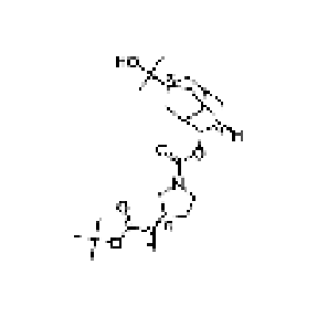 CC(C)(C)OC(=O)N[C@@H]1CCN(C(=O)OC2C3CC4C[C@H]2C[C@@](C(C)(C)O)(C4)C3)C1